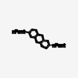 CCCCCc1ccc2cc3cc(CCCCC)ccc3cc2c1